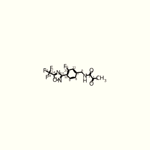 CC(=O)C(=O)NCc1ccc(-c2noc(C(F)(F)F)n2)c(F)c1